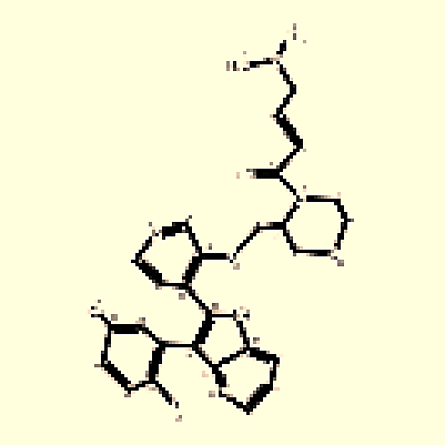 CN(C)C/C=C/C(=O)N1CCOCC1COc1cnccc1-c1[nH]c2cccnc2c1-c1cc(Cl)ccc1F